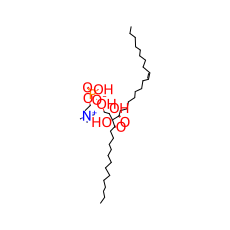 CCCCCCCC/C=C\CCCCCCCC(=O)[C@@](O)(C(=O)CCCCCCCCCCCCC)[C@@H](O)CO.C[N+](C)(C)CCOP(=O)([O-])O